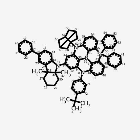 CC(C)(C)c1ccc(N2c3cc(N4c5ccc(-c6ccccc6)cc5C5(C)CCCCC45C)cc4c3B3c5c2cccc5[Si](c2ccccc2)(c2ccccc2)c2cccc(c23)N4C23CC4CC2CC4C3)cc1